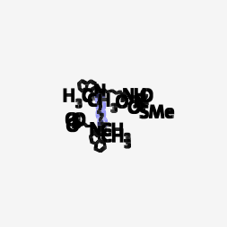 CSC1CC(=O)N(CCNC(=O)CCCCCN2/C(=C/C=C/C=C/C=C/C3=[N+](CCCCS(=O)(=O)[O-])c4ccc5ccccc5c4C3(C)C)C(C)(C)c3c2ccc2ccccc32)C1=O